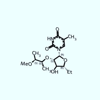 CC[C@H]1O[C@@H](n2cc(C)c(=O)[nH]c2=O)[C@@H](O[C@@H](C)[C@H](C)OC)C1O